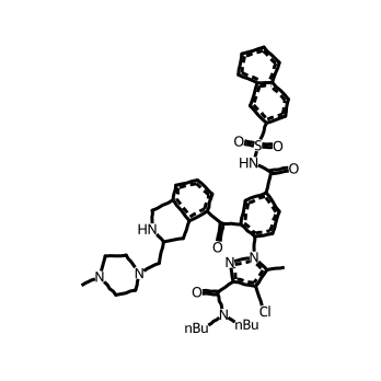 CCCCN(CCCC)C(=O)c1nn(-c2ccc(C(=O)NS(=O)(=O)c3ccc4ccccc4c3)cc2C(=O)c2cccc3c2CC(CN2CCN(C)CC2)NC3)c(C)c1Cl